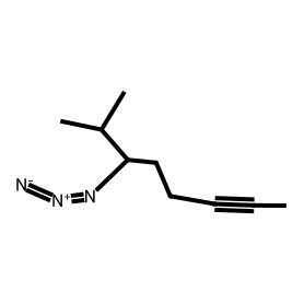 CC#CCCC(N=[N+]=[N-])C(C)C